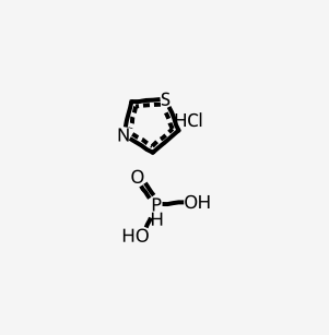 Cl.O=[PH](O)O.c1cscn1